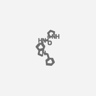 O=C(Nc1ccc2c(c1)N(Cc1ccccc1)CC2)[C@@H]1CCCN1